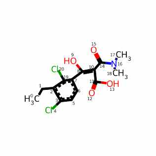 CCc1c(Cl)ccc(C(O)=C(C(=O)O)C(=O)N(C)C)c1Cl